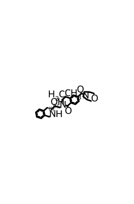 CC1(C)CN(C[C@H](O)[C@@H]2Cc3ccccc3CN2)C(=O)c2ccc(C(=O)N3C4CCC3COC4)cc21